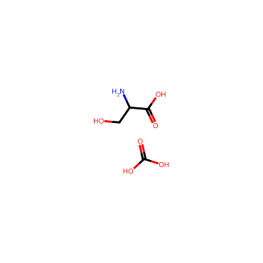 NC(CO)C(=O)O.O=C(O)O